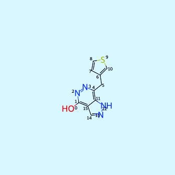 Oc1nnc(Cc2ccsc2)c2[nH]ncc12